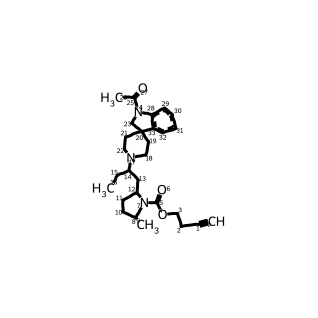 C#CCCOC(=O)N1C(C)CCC1CC(CC)N1CCC2(CC1)CN(C(C)=O)c1ccccc12